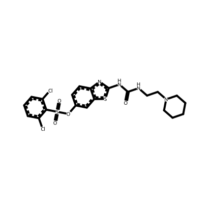 O=C(NCCN1CCCCC1)Nc1nc2ccc(OS(=O)(=O)c3c(Cl)cccc3Cl)cc2s1